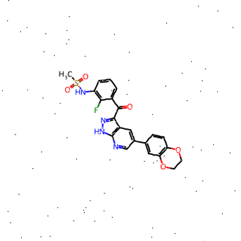 CS(=O)(=O)Nc1cccc(C(=O)c2n[nH]c3ncc(-c4ccc5c(c4)OCCO5)cc23)c1F